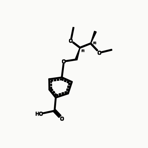 CO[C@H](C)[C@@H](COc1ccc(C(=O)O)cc1)OC